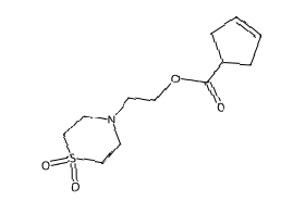 O=C(OCCN1CCS(=O)(=O)CC1)C1CC=CC1